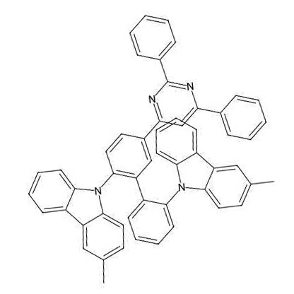 Cc1ccc2c(c1)c1ccccc1n2-c1ccccc1-c1cc(-c2cc(-c3ccccc3)nc(-c3ccccc3)n2)ccc1-n1c2ccccc2c2cc(C)ccc21